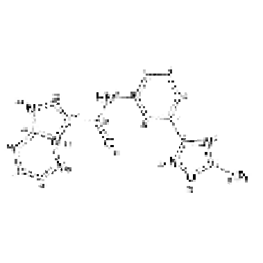 CC(C)c1nc(-c2cccc(NC(=O)c3cnc4cccnn34)c2)no1